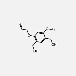 C=CCOc1cc(OCC)c(CO)cc1CO